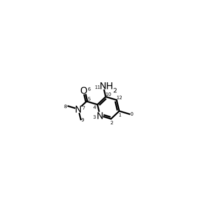 Cc1cnc(C(=O)N(C)C)c(N)c1